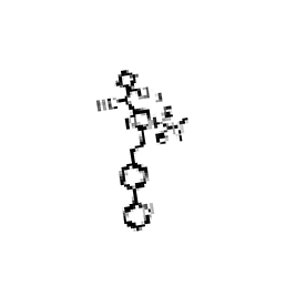 CN(C)S(=O)(=O)n1cc(C(O)C2(C(F)(F)F)CCC2)nc1CCc1ccc(-c2ccccn2)cc1